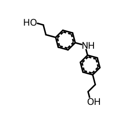 OCCc1ccc(Nc2ccc(CCO)cc2)cc1